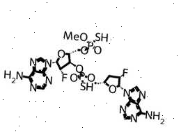 COP(=O)(S)OC[C@H]1O[C@@H](n2cnc3c(N)ncnc32)[C@@H](F)[C@@H]1OP(=O)(S)OC[C@@H]1C[C@H](F)[C@H](n2cnc3c(N)ncnc32)O1